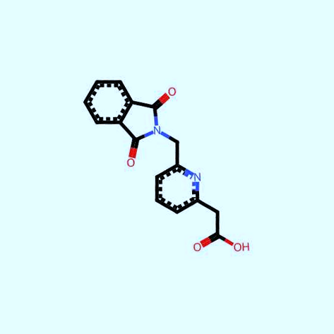 O=C(O)Cc1cccc(CN2C(=O)c3ccccc3C2=O)n1